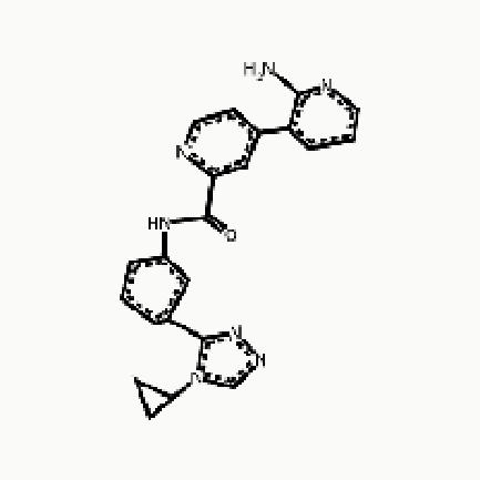 Nc1ncccc1-c1ccnc(C(=O)Nc2cccc(-c3nncn3C3CC3)c2)c1